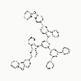 c1ccc(-c2cc(-c3ccccc3)cc(-c3cc(-n4c5ccccc5c5cc(-c6ccc7oc8ccccc8c7c6)ccc54)cc(-n4c5ccccc5c5cc(-c6ccc7oc8ccccc8c7c6)ccc54)c3)c2)cc1